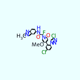 COc1cn(C(F)C(=O)Nc2ccc3nn(C)cc3c2)c(=O)cc1-c1cc(Cl)ccc1-n1cc(Cl)nn1